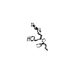 C/C=C/C(=O)OC(CO)CCN=C=O